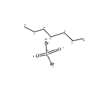 CCCCCCC.O=S(=O)(Br)Br